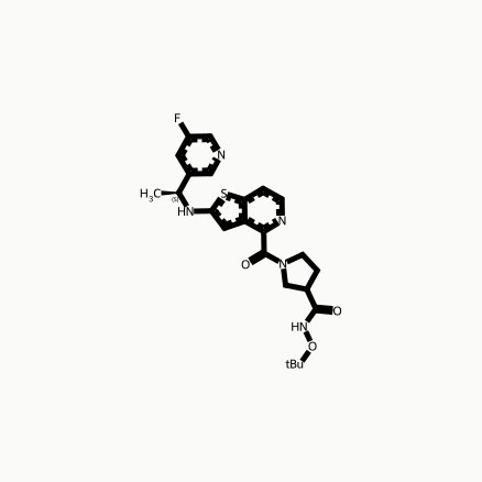 C[C@H](Nc1cc2c(C(=O)N3CCC(C(=O)NOC(C)(C)C)C3)nccc2s1)c1cncc(F)c1